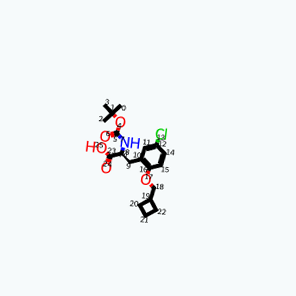 CC(C)(C)OC(=O)N[C@@H](Cc1cc(Cl)ccc1OCC1CCC1)C(=O)O